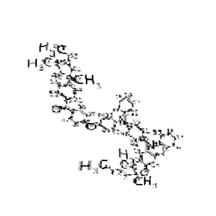 CCCCC(C)(CC)Oc1ccc(N(c2ccccc2)c2ccc(N(c3ccccc3)c3ccc(Oc4ccc(C(=O)c5ccc(C(C)(CCC)CCCC)cc5)cc4)cc3)cc2)cc1